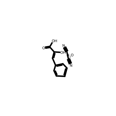 N#CC#N.O.O=C(O)C(O)=Cc1ccccc1